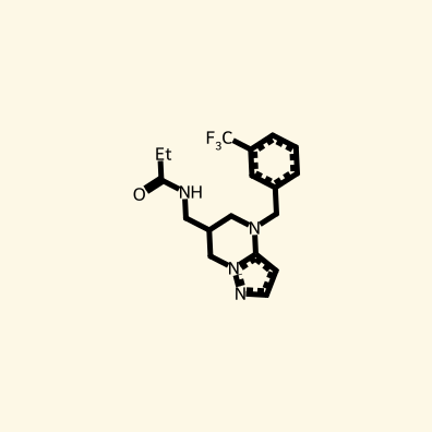 CCC(=O)NCC1CN(Cc2cccc(C(F)(F)F)c2)c2ccnn2C1